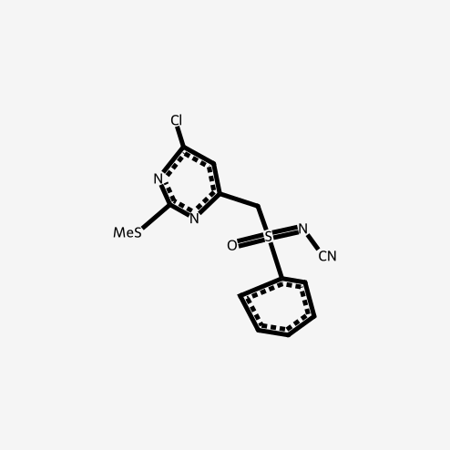 CSc1nc(Cl)cc(CS(=O)(=NC#N)c2ccccc2)n1